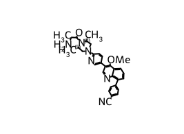 COc1c(-c2ccc(N3C[C@@H](C)N(C(=O)C(C)N)[C@@H](C)C3)nc2)cnc2c(-c3ccc(C#N)cc3)cccc12